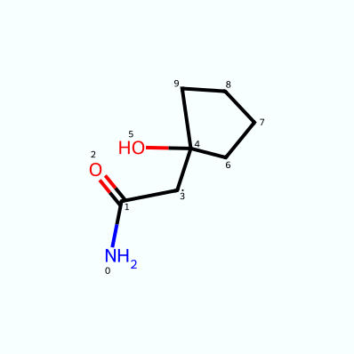 NC(=O)[CH]C1(O)CCCC1